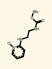 CC(C)(C)OC(=O)NCCNc1cccc[n+]1[O-]